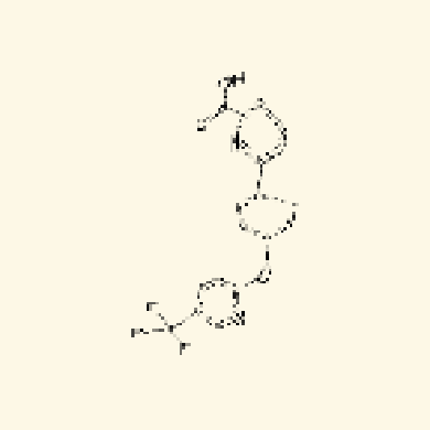 O=C(O)c1cccc(-c2ccc(Oc3ccc(C(F)(F)F)cn3)cc2)n1